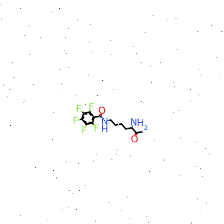 CC(=O)[C@H](N)CCCCNC(=O)c1c(F)c(F)c(F)c(F)c1F